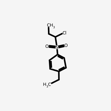 CCc1ccc(S(=O)(=O)C(Cl)CC)cc1